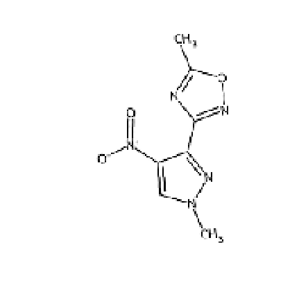 Cc1nc(-c2nn(C)cc2[N+](=O)[O-])no1